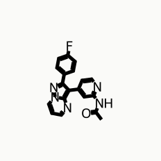 CC(=O)Nc1cc(-c2c(-c3ccc(F)cc3)nn3cccnc23)ccn1